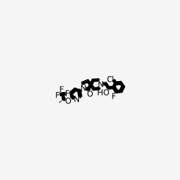 C[C@@H](Oc1ccc(N2CCC3(CCN(CC(O)c4c(F)cccc4Cl)CC3)C2=O)cn1)C(F)(F)F